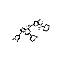 Cc1cc(Nc2nc(C3=CCCNC3)cn3c(-c4cnn(C)c4)cnc23)sc1S(=O)(=O)N1CCCCC1